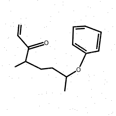 C=CC(=O)C(C)CCC(C)Oc1ccccc1